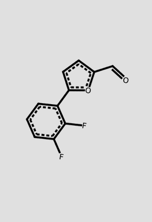 O=Cc1ccc(-c2cccc(F)c2F)o1